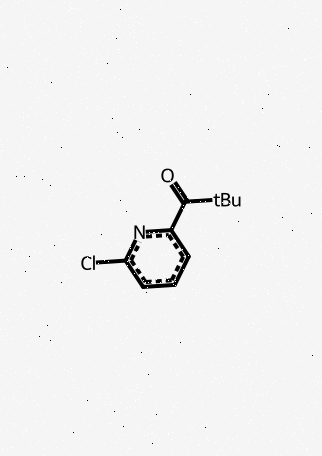 CC(C)(C)C(=O)c1cccc(Cl)n1